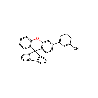 N#CC1=CC(c2ccc3c(c2)Oc2ccccc2C32c3ccccc3-c3ccccc32)=CCC1